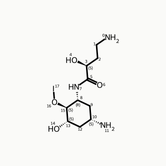 NCC[C@H](O)C(=O)N[C@@H]1C[C@H](N)C[C@H](O)[C@H]1OI